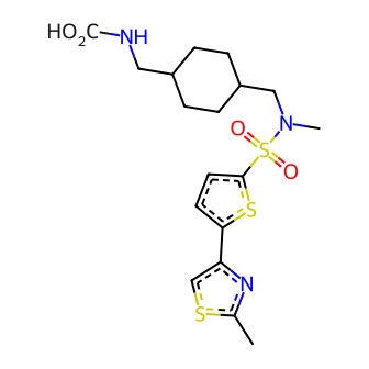 Cc1nc(-c2ccc(S(=O)(=O)N(C)CC3CCC(CNC(=O)O)CC3)s2)cs1